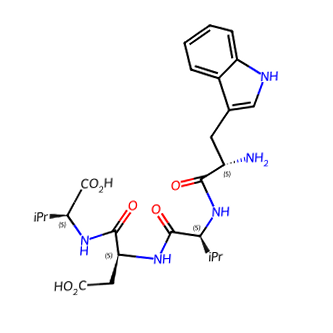 CC(C)[C@H](NC(=O)[C@H](CC(=O)O)NC(=O)[C@@H](NC(=O)[C@@H](N)Cc1c[nH]c2ccccc12)C(C)C)C(=O)O